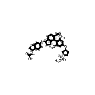 Cc1cc(O[C@@H]2CCN(S(C)(=O)=O)C2)cc(C)c1-c1c(C#N)ccc2c1CC[C@H]2Oc1ccc2c(c1)OC[C@H]2CC(=O)O